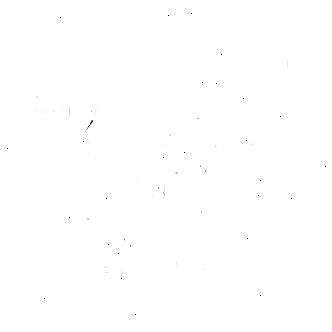 CCOc1ccc(NC(=O)Nc2cc([C@H](CC)CC(=O)O)ccc2N(CC)C2CCOCC2)cc1